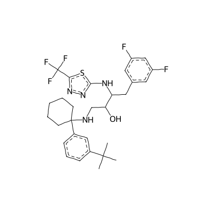 CC(C)(C)c1cccc(C2(NCC(O)C(Cc3cc(F)cc(F)c3)Nc3nnc(C(F)(F)F)s3)CCCCC2)c1